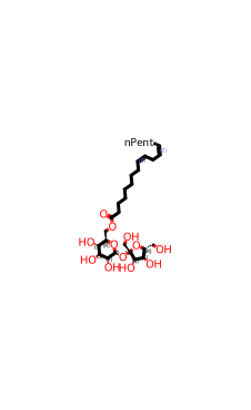 CCCCC/C=C\C/C=C\CCCCCCCC(=O)OC[C@H]1O[C@H](O[C@]2(CO)O[C@H](CO)[C@@H](O)[C@@H]2O)[C@H](O)[C@@H](O)[C@@H]1O